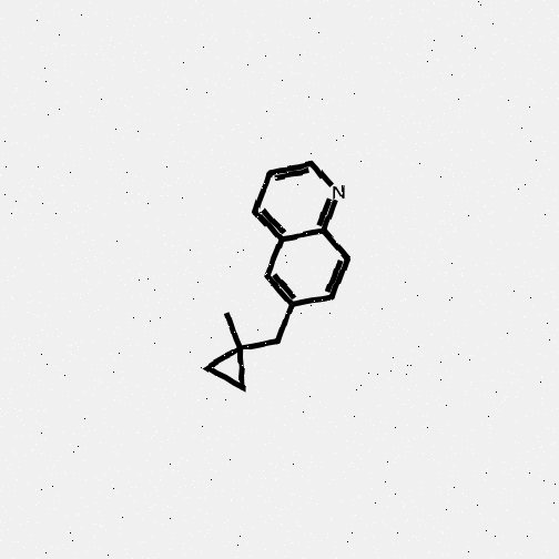 CC1(Cc2ccc3ncccc3c2)CC1